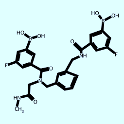 CNC(=O)CN(Cc1cccc(CNC(=O)c2cc(F)cc(B(O)O)c2)c1)C(=O)c1cc(F)cc(B(O)O)c1